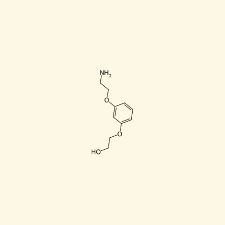 NCCOc1cccc(OCCO)c1